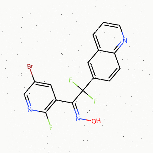 O/N=C(/c1cc(Br)cnc1F)C(F)(F)c1ccc2ncccc2c1